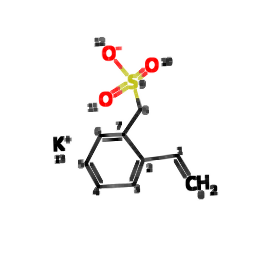 C=Cc1ccccc1CS(=O)(=O)[O-].[K+]